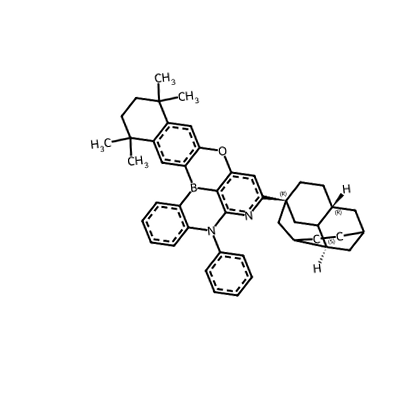 CC1(C)CCC(C)(C)c2cc3c(cc21)Oc1cc([C@]24CC[C@@H]5CC6CCC(C2)[C@H](C6)C5C4)nc2c1B3c1ccccc1N2c1ccccc1